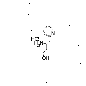 Cl.NC(CCO)Cc1ccccn1